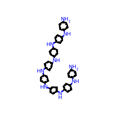 Nc1ccc(Nc2ccc(Nc3ccc(Nc4ccc(Nc5ccc(Nc6ccc(Nc7ccc(Nc8ccc(N)cc8)cc7)cc6)cc5)cc4)cc3)cc2)cc1